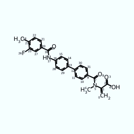 C=C(C(=O)O)N(C)C(=O)c1ccc(-c2ccc(NC(=O)c3ccc(C)c(F)c3)cc2)cc1